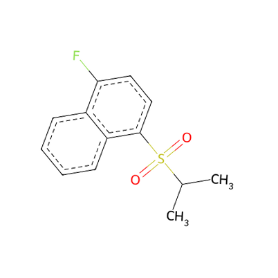 CC(C)S(=O)(=O)c1ccc(F)c2ccccc12